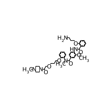 COc1cc(C(=O)N(C)c2ccccc2OCCCOCC(=O)N2CCN(C)CC2)ccc1NC(=O)c1ccccc1OCCCN